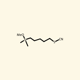 CO[Si](C)(C)CCCCCSC#N